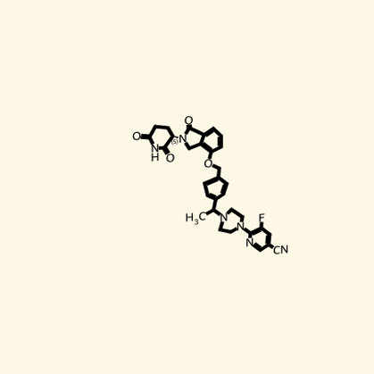 CC(c1ccc(COc2cccc3c2CN([C@H]2CCC(=O)NC2=O)C3=O)cc1)N1CCN(c2ncc(C#N)cc2F)CC1